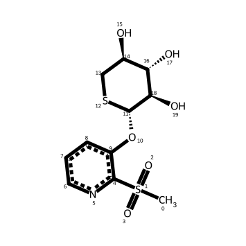 CS(=O)(=O)c1ncccc1O[C@@H]1SC[C@@H](O)[C@H](O)[C@H]1O